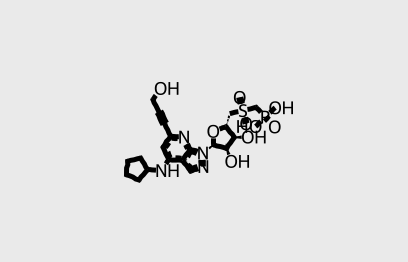 O=P(O)(O)CS(=O)(=O)C[C@H]1O[C@@H](n2ncc3c(NC4CCCC4)cc(C#CCO)nc32)[C@H](O)[C@@H]1O